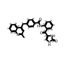 Cc1cc(Cc2ccc(C(=O)Nc3ccccc3C(=O)c3c[nH]c(=O)[nH]3)cc2)c2ccccc2n1